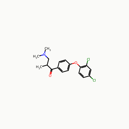 CC(CN(C)C)C(=O)c1ccc(Oc2ccc(Cl)cc2Cl)cc1